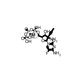 CC#CC1(N)[C@@H](O)[C@@H]([C@H](C)OP(=O)(O)OP(=O)(O)OP(=O)(O)O)O[C@H]1n1cc(F)c(N)nc1=O